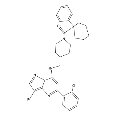 O=C(N1CCC(CNC2=CC(c3ccccc3Cl)=NC3=C(Br)C=NC23)CC1)C1(c2ccccc2)CCCCC1